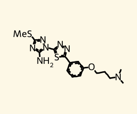 CSc1nc(N)n(-c2nnc(-c3cccc(OCCCN(C)C)c3)s2)n1